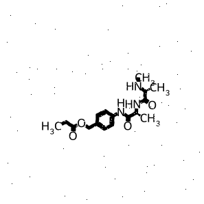 CCC(=O)OCc1ccc(NC(=O)[C@H](C)NC(=O)[C@H](C)NC)cc1